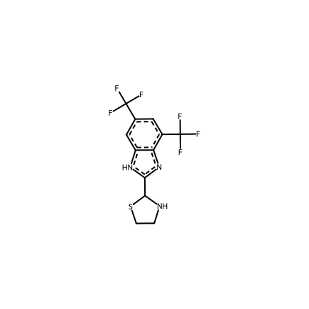 FC(F)(F)c1cc(C(F)(F)F)c2nc(C3NCCS3)[nH]c2c1